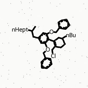 CCCCCCCC(C)Cc1cc(OCc2ccccc2)c(C2=C(CCl)CCC(CCCC)C2)c(OCc2ccccc2)c1